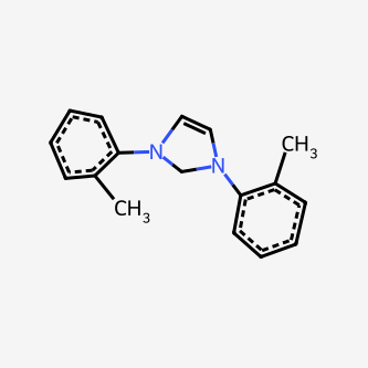 Cc1ccccc1N1C=CN(c2ccccc2C)C1